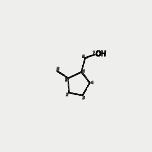 CC1CCCC1[CH]O